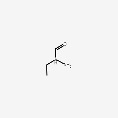 CC[SH](N)C=O